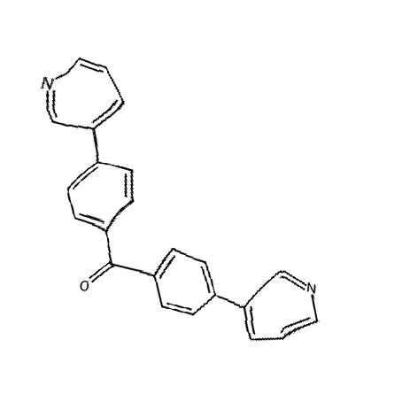 O=C(c1ccc(-c2cccnc2)cc1)c1ccc(-c2cccnc2)cc1